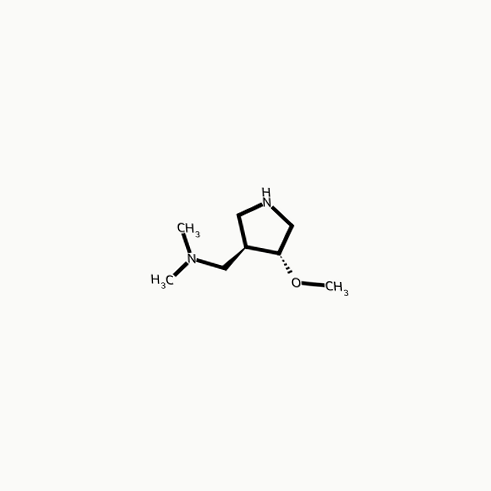 CO[C@H]1CNC[C@@H]1CN(C)C